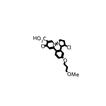 COCCCOc1ccc2c(c1)C1C(Cl)CCN1n1cc(C(=O)O)c(=O)cc1-2